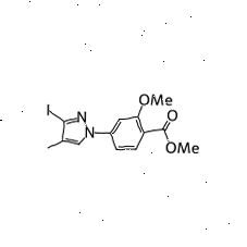 COC(=O)c1ccc(-n2cc(C)c(I)n2)cc1OC